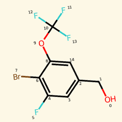 OCc1cc(F)c(Br)c(OC(F)(F)F)c1